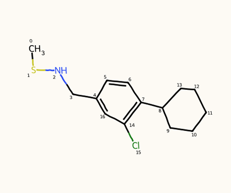 CSNCc1ccc(C2CCCCC2)c(Cl)c1